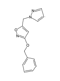 [c]1cnn(Cc2cc(OCc3ccccc3)no2)c1